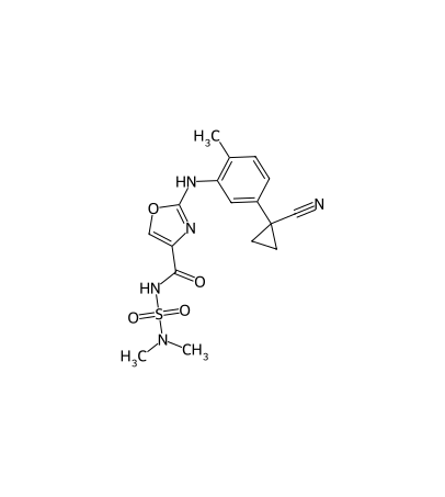 Cc1ccc(C2(C#N)CC2)cc1Nc1nc(C(=O)NS(=O)(=O)N(C)C)co1